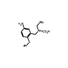 CC(C)Sc1ccc(N)cc1CN(CC(C)(C)C)C(=O)O